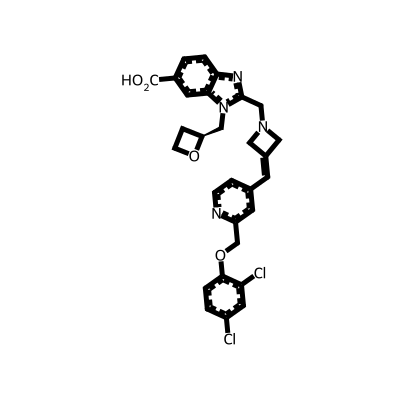 O=C(O)c1ccc2nc(CN3CC(=Cc4ccnc(COc5ccc(Cl)cc5Cl)c4)C3)n(C[C@@H]3CCO3)c2c1